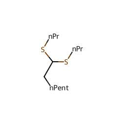 CCCCCCC(SCCC)SCCC